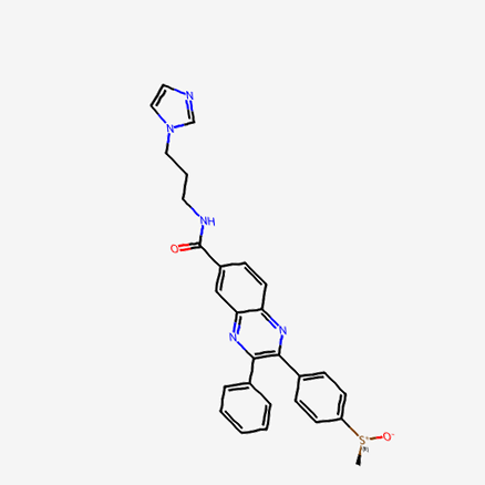 C[S@+]([O-])c1ccc(-c2nc3ccc(C(=O)NCCCn4ccnc4)cc3nc2-c2ccccc2)cc1